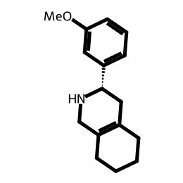 COc1cccc([C@@H]2CC3=C(CCCC3)CN2)c1